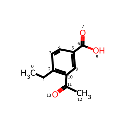 CCc1ccc(C(=O)O)cc1C(C)=O